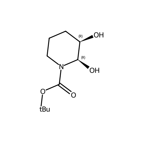 CC(C)(C)OC(=O)N1CCC[C@@H](O)[C@H]1O